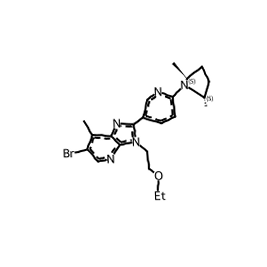 CCOCCn1c(-c2ccc(N3[C@@H](C)CC[C@@H]3C)nc2)nc2c(C)c(Br)cnc21